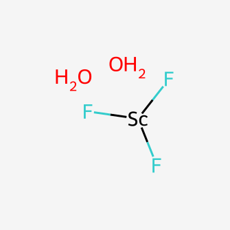 O.O.[F][Sc]([F])[F]